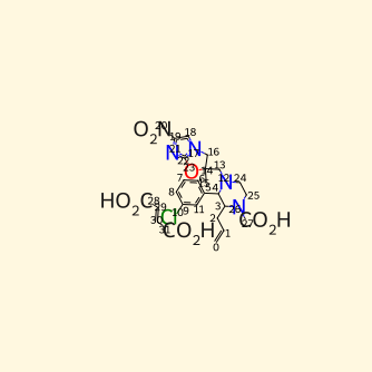 C=CCC1C(c2cccc(Cl)c2)N(CC2(C)Cn3cc([N+](=O)[O-])nc3O2)CCN1C(=O)O.O=C(O)C=CC(=O)O